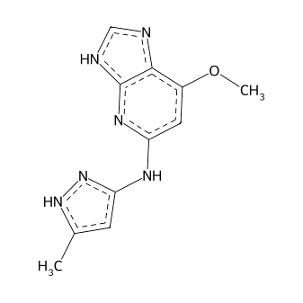 COc1cc(Nc2cc(C)[nH]n2)nc2[nH]cnc12